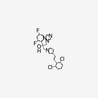 OC(Cn1ccc(C=Cc2c(Cl)cccc2Cl)c1)(Cn1cncn1)c1ccc(F)cc1F